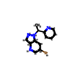 C[C@@H](c1ccccn1)n1ncc2ncc(Br)cc21